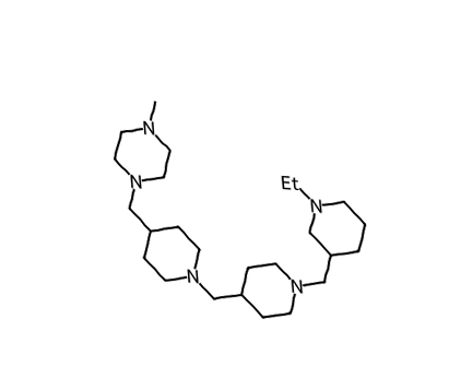 CCN1CCCC(CN2CCC(CN3CCC(CN4CCN(C)CC4)CC3)CC2)C1